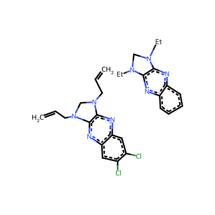 C=CCN1CN(CC=C)c2nc3cc(Cl)c(Cl)cc3nc21.CCN1CN(CC)c2nc3ccccc3nc21